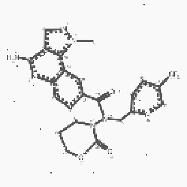 Cn1ncc2c(N)nc3ccc(C(=O)N(Cc4ccc(C(F)(F)F)cn4)N4CCCOC4=O)cc3c21